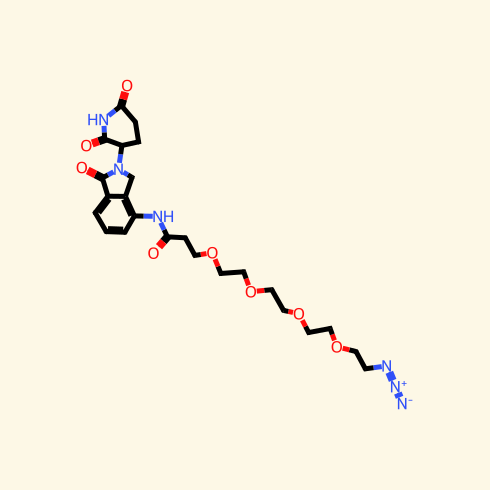 [N-]=[N+]=NCCOCCOCCOCCOCCC(=O)Nc1cccc2c1CN(C1CCC(=O)NC1=O)C2=O